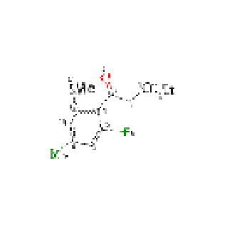 CCOC(=O)CC(=O)c1c(F)cc(Br)cc1SC